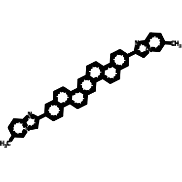 Cc1ccc2nc(-c3ccc4c(ccc5c6cc7ccc8c9ccc(-c%10cn%11cc(C)ccc%11n%10)cc9ccc8c7cc6ccc45)c3)cn2c1